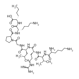 CCCC[C@H](NC(=O)[C@H](CCCCN)NC(=O)[C@@H]1CCCN1C(=O)CNC(=O)[C@H](CC(C)C)NC(=O)[C@H](CCCNC(=N)N)NC(=O)[C@@H](NC(=O)[C@@H](N)CCCCN)C(C)C)C(=O)O